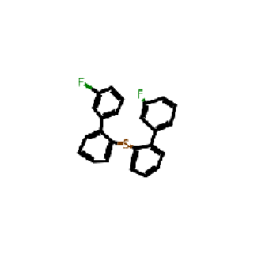 Fc1cccc(-c2ccccc2Sc2ccccc2-c2cccc(F)c2)c1